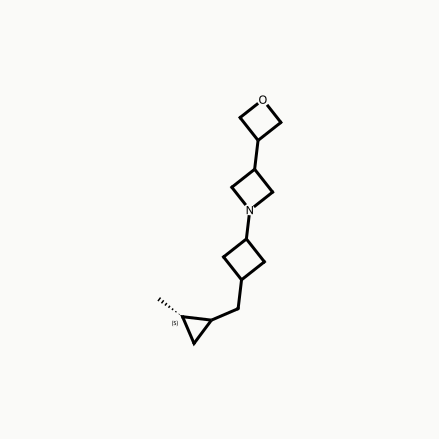 C[C@H]1CC1CC1CC(N2CC(C3COC3)C2)C1